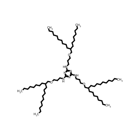 CCCCCCCCCCC(CCCCCCCC)COCCCNc1nc(NCCCOCC(CCCCCCCC)CCCCCCCCCC)nc(NCCCOCC(CCCCCCCC)CCCCCCCCCC)n1